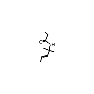 CC=CC(C)(C)NC(=O)CC